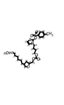 CCCCCCCCCCCCCCCCC1COC(COC(=O)OCCCCN2C=CSC2OS(=O)(=O)c2ccc(C)cc2)C1